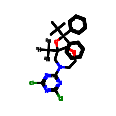 [2H]C([2H])([2H])C1(O[Si](c2ccccc2)(c2ccccc2)C(C)(C)C)COCCN(c2nc(Cl)nc(Cl)n2)C1